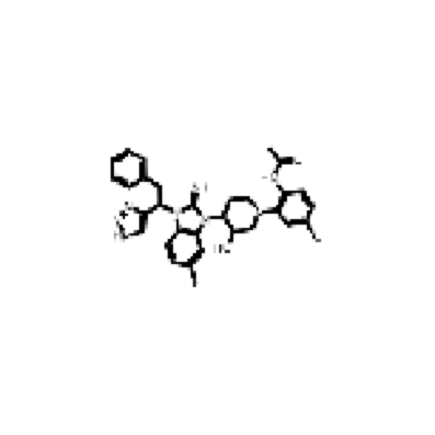 CC(=O)Nc1ccc(Cl)cc1N1CCC(n2c(=N)n(C(Cc3ccccc3)c3c[nH]nn3)c3ccc(F)cc32)C(O)C1